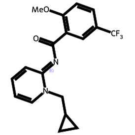 COc1ccc(C(F)(F)F)cc1C(=O)/N=c1\ccccn1CC1CC1